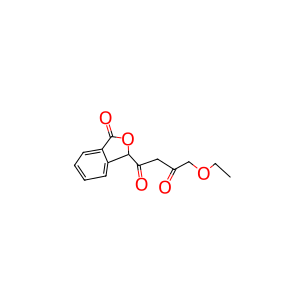 CCOCC(=O)CC(=O)C1OC(=O)c2ccccc21